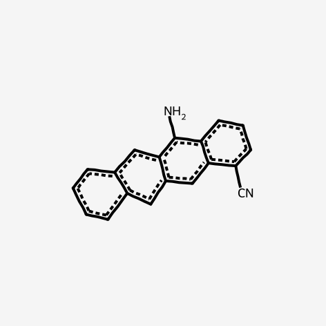 N#Cc1cccc2c(N)c3cc4ccccc4cc3cc12